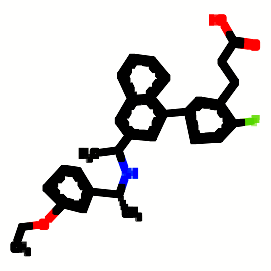 CCOc1cccc([C@@H](C)NC(C)c2cc(-c3ccc(F)c(CCC(=O)O)c3)c3ccccc3c2)c1